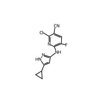 N#Cc1cc(F)c(Nc2cc(C3CC3)[nH]n2)nc1Cl